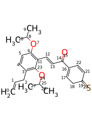 C=CCc1ccc(OC(C)C)c(C=CC(=O)C2=CCC(=S)C=C2)c1OC(C)C